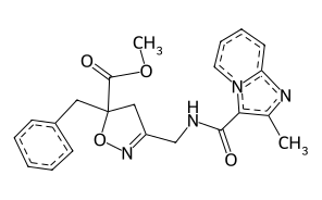 COC(=O)C1(Cc2ccccc2)CC(CNC(=O)c2c(C)nc3ccccn23)=NO1